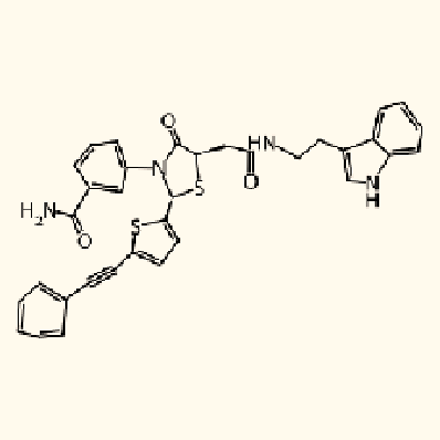 NC(=O)c1cccc(N2C(=O)[C@@H](CC(=O)NCCc3c[nH]c4ccccc34)S[C@H]2c2ccc(C#Cc3ccccc3)s2)c1